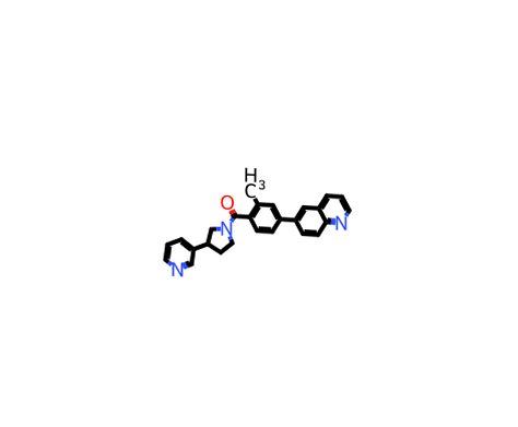 Cc1cc(-c2ccc3ncccc3c2)ccc1C(=O)N1CCC(c2cccnc2)C1